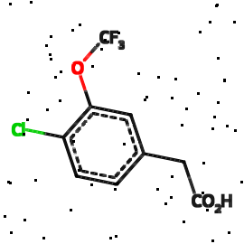 O=C(O)Cc1ccc(Cl)c(OC(F)(F)F)c1